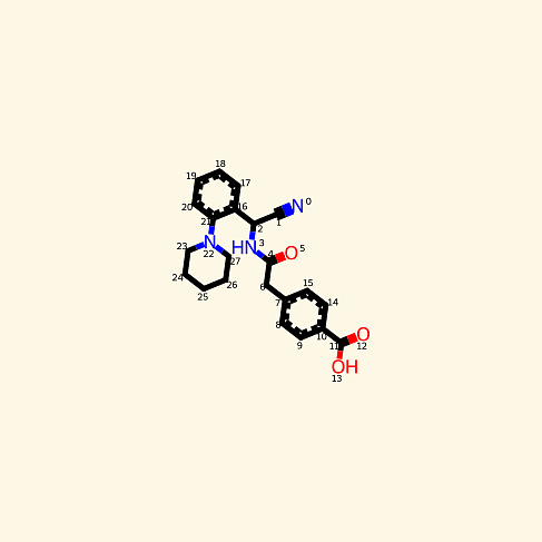 N#CC(NC(=O)Cc1ccc(C(=O)O)cc1)c1ccccc1N1CCCCC1